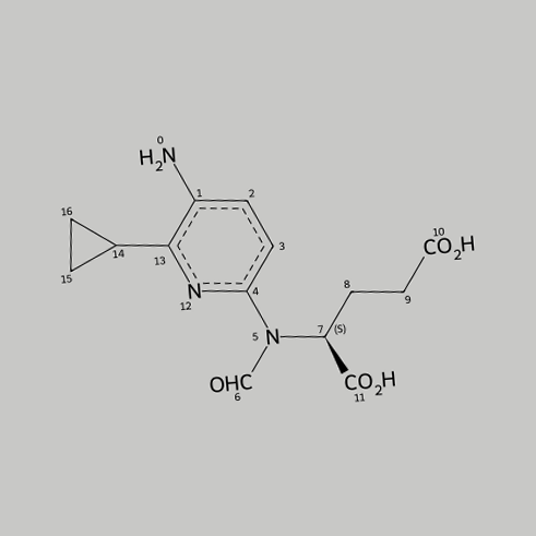 Nc1ccc(N(C=O)[C@@H](CCC(=O)O)C(=O)O)nc1C1CC1